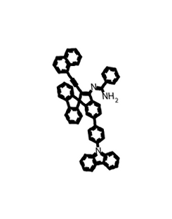 N/C(=N\C1=C(C#Cc2cccc3ccccc23)C2(c3cc(-c4ccc(-n5c6ccccc6c6ccccc65)cc4)ccc31)c1ccccc1-c1ccccc12)c1ccccc1